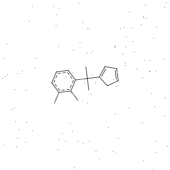 Cc1cccc(C(C)(C)C2=CC=CC2)c1C